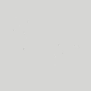 F[B-](F)(F)F.F[B-](F)(F)F.F[B-](F)(F)F.Fc1ccccc1Cl.[KH]